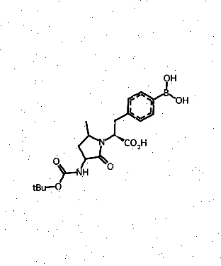 CC1CC(NC(=O)OC(C)(C)C)C(=O)N1[C@@H](Cc1ccc(B(O)O)cc1)C(=O)O